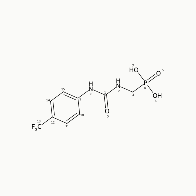 O=C(NCP(=O)(O)O)Nc1ccc(C(F)(F)F)cc1